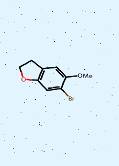 COc1cc2c(cc1Br)OCC2